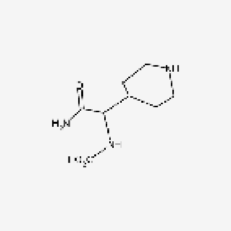 NC(=O)C(NC(=O)O)C1CCNCC1